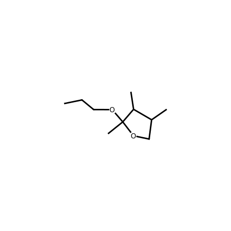 CCCOC1(C)OCC(C)C1C